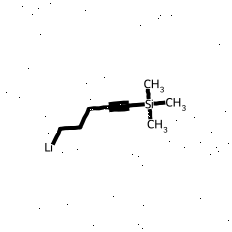 [Li][CH2]CCC#C[Si](C)(C)C